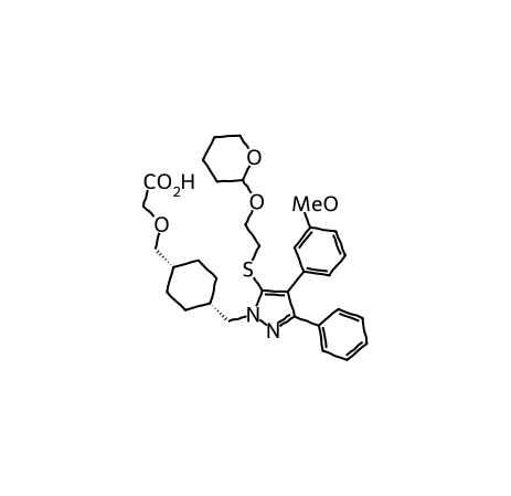 COc1cccc(-c2c(-c3ccccc3)nn(C[C@H]3CC[C@@H](COCC(=O)O)CC3)c2SCCOC2CCCCO2)c1